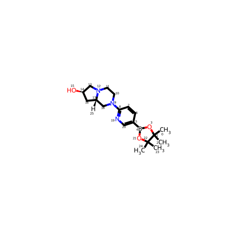 CC1(C)OB(c2ccc(N3CCN4C[C@H](O)C[C@H]4C3)nc2)OC1(C)C